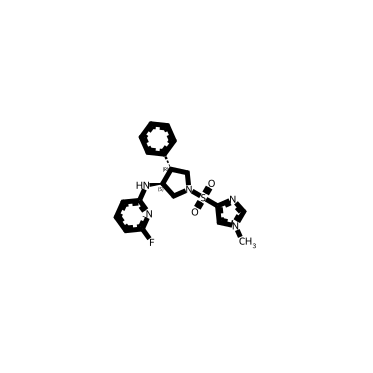 Cn1cnc(S(=O)(=O)N2C[C@@H](Nc3cccc(F)n3)[C@H](c3ccccc3)C2)c1